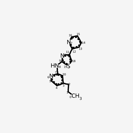 CCCc1ccnc(Nc2nc(-c3ccccn3)cs2)c1